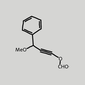 COC(C#CO[C]=O)c1ccccc1